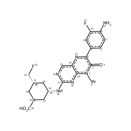 CC(C)n1c(=O)c(-c2ccc(N)c(F)c2)nc2cnc(N[C@H]3C[C@@H](CF)CN(C(=O)O)C3)nc21